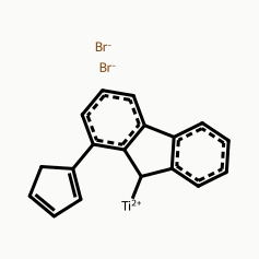 [Br-].[Br-].[Ti+2][CH]1c2ccccc2-c2cccc(C3=CC=CC3)c21